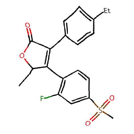 CCc1ccc(C2=C(c3ccc(S(C)(=O)=O)cc3F)C(C)OC2=O)cc1